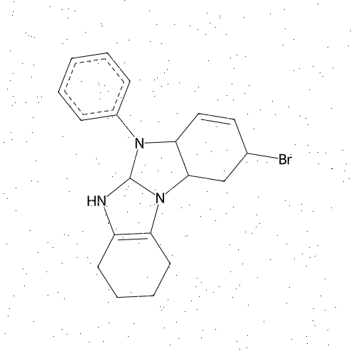 BrC1C=CC2C(C1)N1C3=C(CCCC3)NC1N2c1ccccc1